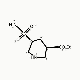 CCOC(=O)[C@H]1CNC[C@@H](S(N)(=O)=O)C1